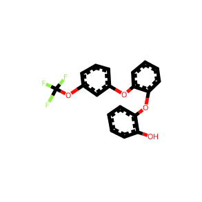 Oc1ccccc1Oc1ccccc1Oc1cccc(OC(F)(F)F)c1